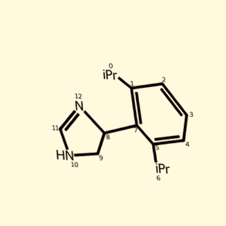 CC(C)c1cccc(C(C)C)c1C1CNC=N1